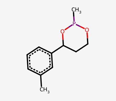 Cc1cccc(C2CCOP(C)O2)c1